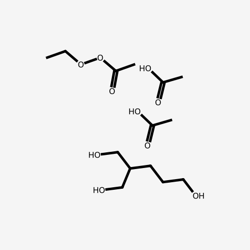 CC(=O)O.CC(=O)O.CCOOC(C)=O.OCCCC(CO)CO